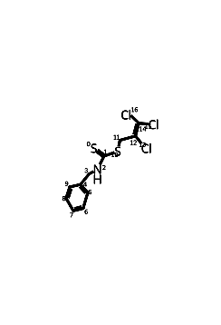 S=C(NCc1ccccc1)SCC(Cl)=C(Cl)Cl